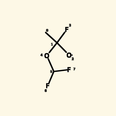 CC([O])(F)OC(F)F